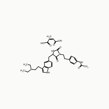 CCN(CC)CCc1c[nH]c2ccc(CC3NC(=O)N(CCc4ccc(NC(C)=O)cc4)C3=O)cc12.O.O=C(O)/C=C\C(=O)O